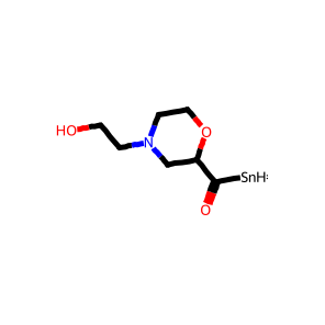 O=[C]([SnH])C1CN(CCO)CCO1